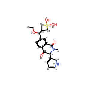 CCOC(c1ccc2c(c1)C(=O)N(C)C(C1=CC=CNC1)C2=O)C1CS(O)(O)C1